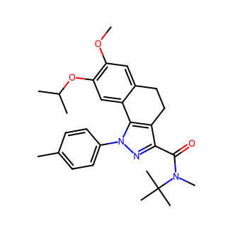 COc1cc2c(cc1OC(C)C)-c1c(c(C(=O)N(C)C(C)(C)C)nn1-c1ccc(C)cc1)CC2